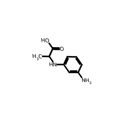 CC(Nc1cccc(N)c1)C(=O)O